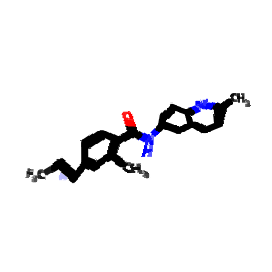 Cc1ccc2cc(NC(=O)c3ccc(/C=C/C(F)(F)F)cc3C)ccc2n1